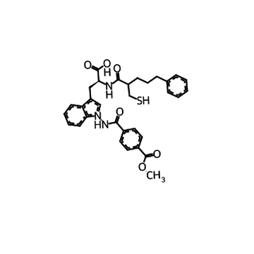 COC(=O)c1ccc(C(=O)Nn2cc(C[C@H](NC(=O)C(CS)CCCc3ccccc3)C(=O)O)c3ccccc32)cc1